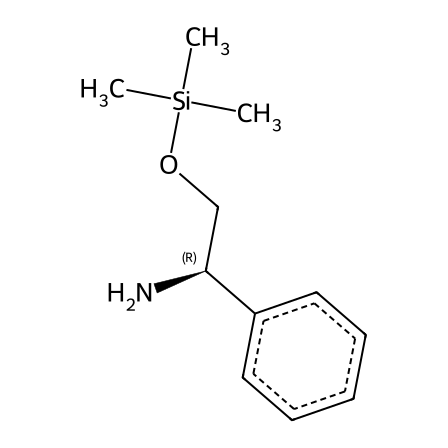 C[Si](C)(C)OC[C@H](N)c1ccccc1